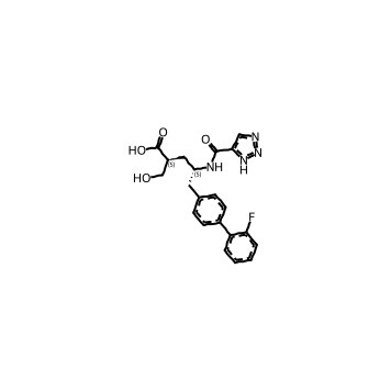 O=C(N[C@H](Cc1ccc(-c2ccccc2F)cc1)C[C@@H](CO)C(=O)O)c1cnn[nH]1